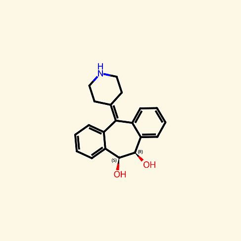 O[C@@H]1c2ccccc2C(=C2CCNCC2)c2ccccc2[C@@H]1O